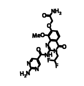 COc1c(OCC(N)=O)ccc2c(=O)n(CC(F)F)c(NC(=O)c3cnc(N)nc3)nc12